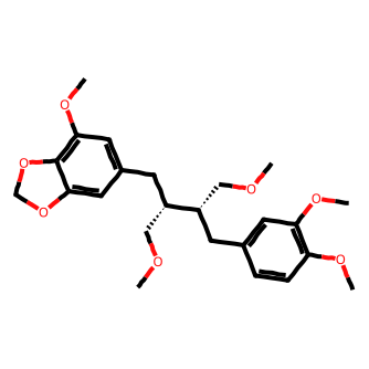 COC[C@H](Cc1ccc(OC)c(OC)c1)[C@H](COC)Cc1cc(OC)c2c(c1)OCO2